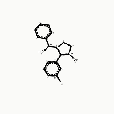 C[C@@H](c1ccccc1)N1CCN(O)C1c1cccc(I)c1